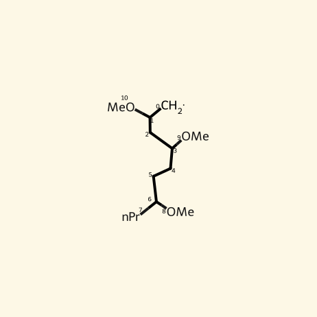 [CH2]C(CC(CCC(CCC)OC)OC)OC